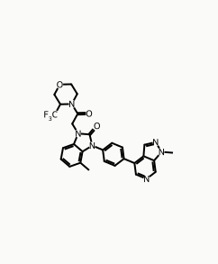 Cc1cccc2c1n(-c1ccc(-c3cncc4c3cnn4C)cc1)c(=O)n2CC(=O)N1CCOCC1C(F)(F)F